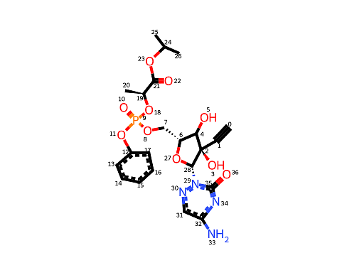 C#C[C@@]1(O)C(O)[C@@H](COP(=O)(Oc2ccccc2)O[C@@H](C)C(=O)OC(C)C)O[C@H]1n1ncc(N)nc1=O